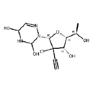 C#CC1(Cl)[C@@H](O)[C@@H]([C@@H](C)O)O[C@H]1N1N=CC(O)NC1O